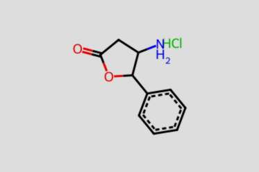 Cl.NC1CC(=O)OC1c1ccccc1